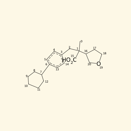 CC(Cc1ccc(C2CCCCC2)cc1)(C(=O)O)C1CCOC1